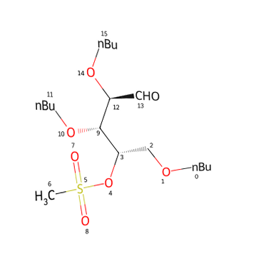 CCCCOC[C@H](OS(C)(=O)=O)[C@H](OCCCC)[C@H](C=O)OCCCC